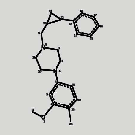 COc1cc(N2CCN(CC3CC3c3ccccc3)CC2)ccc1I